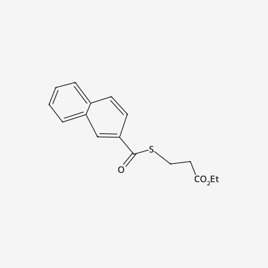 CCOC(=O)CCSC(=O)c1ccc2ccccc2c1